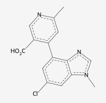 Cc1cc(-c2cc(Cl)cc3c2ncn3C)c(C(=O)O)cn1